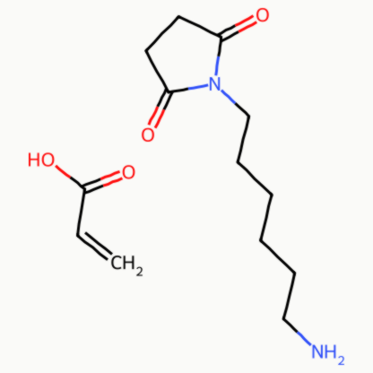 C=CC(=O)O.NCCCCCCN1C(=O)CCC1=O